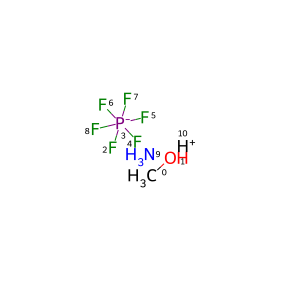 CO.F[P-](F)(F)(F)(F)F.N.[H+]